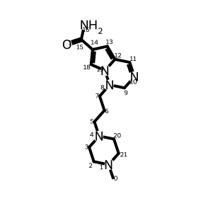 CN1CCN(CCCN2CN=Cc3cc(C(N)=O)cn32)CC1